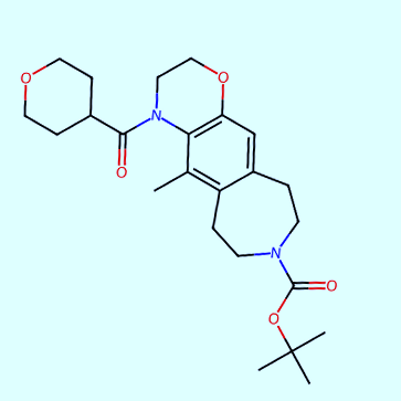 Cc1c2c(cc3c1N(C(=O)C1CCOCC1)CCO3)CCN(C(=O)OC(C)(C)C)CC2